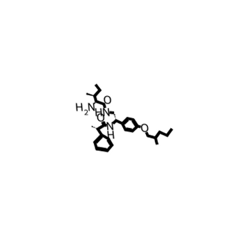 CCCC(C)COc1ccc([C@@H](CNC(=O)[C@H](N)[C@@H](C)CC)NC(=O)[C@@H](C)c2ccccc2)cc1